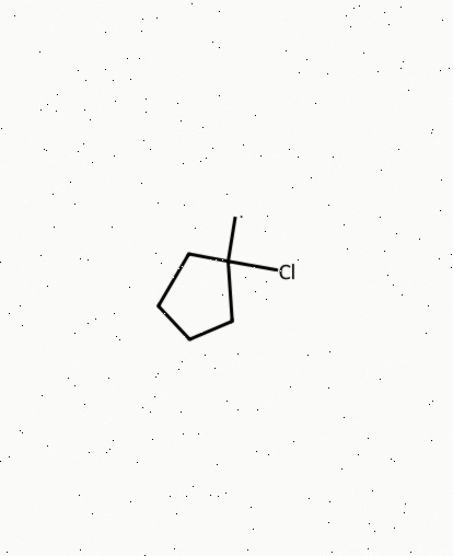 [CH2]C1(Cl)CCCC1